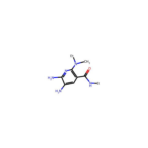 CCNC(=O)c1cc(N)c(N)nc1N(C)CC